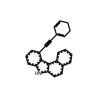 C(#Cc1cccc2[nH]c3ccc4ccccc4c3c12)C1=CCCC=C1